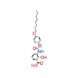 CCCCCCCCOc1ccc(OC(=O)Nc2cccc(C(=O)O)c2O)cc1